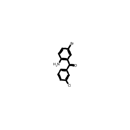 Nc1ccc(Br)cc1C(=O)c1cccc(Cl)c1